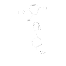 COc1ccc(-n2cc(C(=O)c3cc(Br)ccc3O)cn2)cc1